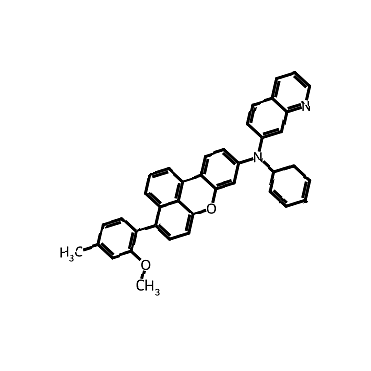 COc1cc(C)ccc1-c1ccc2c3c(cccc13)-c1ccc(N(c3ccc4cccnc4c3)C3C=CC=CC3)cc1O2